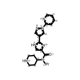 CC(C)N(C(=O)c1c[nH]c(-c2cnn(-c3ccccn3)c2)n1)C1CCNCC1